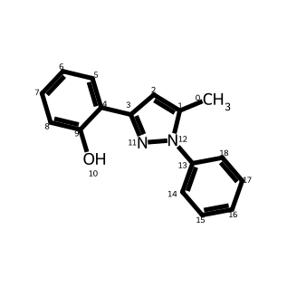 Cc1cc(-c2ccccc2O)nn1-c1ccccc1